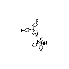 O=c1c2ccccc2[nH]c(=S)n1CCN1CCC(=C(c2ccc(F)cc2)c2ccc(F)cc2)CC1